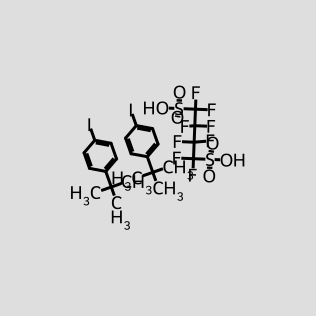 CC(C)(C)c1ccc(I)cc1.CC(C)(C)c1ccc(I)cc1.O=S(=O)(O)C(F)(F)C(F)(F)C(F)(F)C(F)(F)S(=O)(=O)O